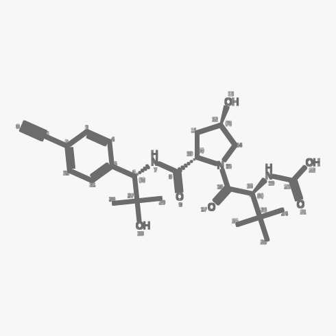 C#Cc1ccc([C@H](NC(=O)[C@@H]2C[C@@H](O)CN2C(=O)[C@@H](NC(=O)O)C(C)(C)C)C(C)(C)O)cc1